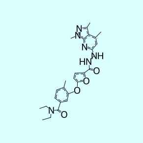 CCN(CC)C(=O)c1ccc(C)c(Oc2ccc(C(=O)NNc3cc(C)c4c(C)nn(C)c4n3)o2)c1